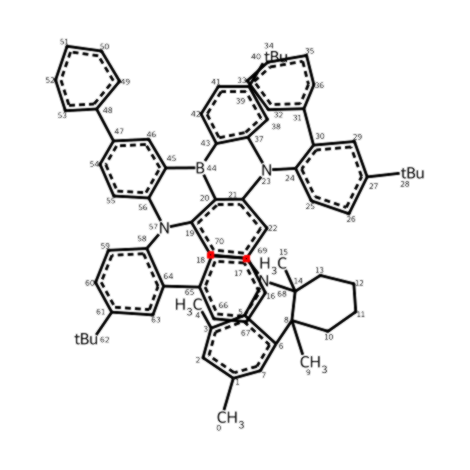 Cc1cc(C)c2c(c1)C1(C)CCCCC1(C)N2c1cc2c3c(c1)N(c1ccc(C(C)(C)C)cc1-c1ccccc1)c1cc(C(C)(C)C)ccc1B3c1cc(-c3ccccc3)ccc1N2c1ccc(C(C)(C)C)cc1-c1ccccc1